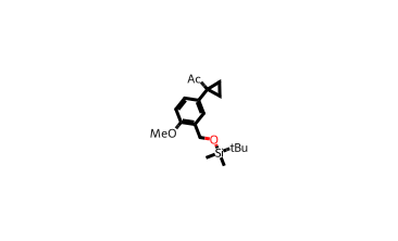 COc1ccc(C2(C(C)=O)CC2)cc1CO[Si](C)(C)C(C)(C)C